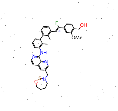 COc1cc(/C(F)=C/c2cccc(-c3cccc(Nc4nccc5cc(CN6CCCCOS6)cnc45)c3C)c2C)ccc1CO